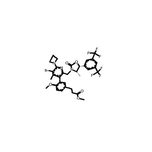 COC(=O)CCc1ccc(OC)c(-c2c(CN3C(=O)O[C@H](c4cc(C(F)(F)F)cc(C(F)(F)F)c4)[C@@H]3C)nc(N3CCC3)c(Br)c2C)c1